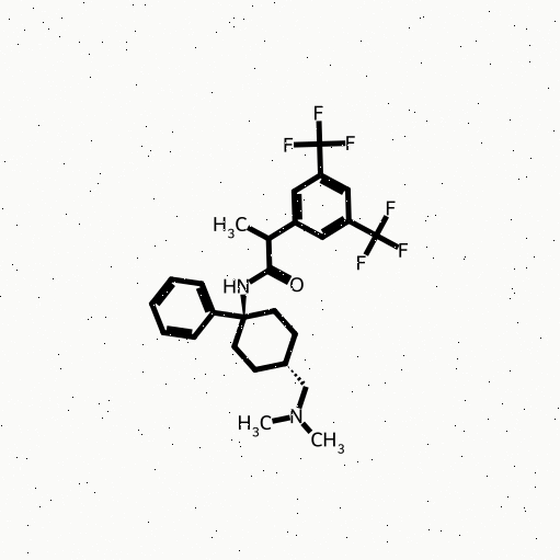 CC(C(=O)N[C@]1(c2ccccc2)CC[C@@H](CN(C)C)CC1)c1cc(C(F)(F)F)cc(C(F)(F)F)c1